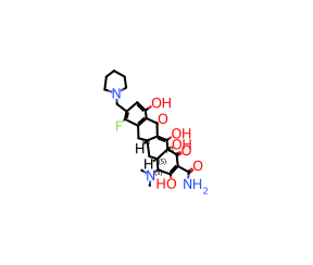 CN(C)[C@@H]1C(O)=C(C(N)=O)C(=O)[C@@]2(O)C(O)=C3C(=O)c4c(O)cc(CN5CCCCC5)c(F)c4C[C@H]3C[C@@H]12